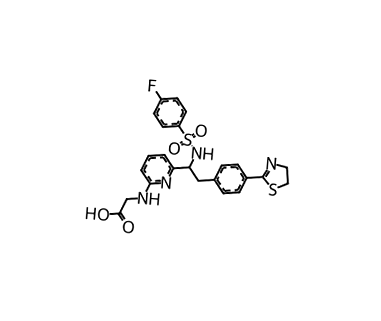 O=C(O)CNc1cccc(C(Cc2ccc(C3=NCCS3)cc2)NS(=O)(=O)c2ccc(F)cc2)n1